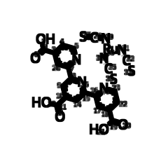 O=C(O)c1ccnc(-c2cc(C(=O)O)cc(-c3cc(C(=O)O)ccn3)n2)c1.S=C=[N][Ru]([N]=C=S)[N]=C=S